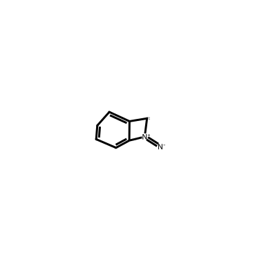 [N-]=[N+]1[C]c2ccccc21